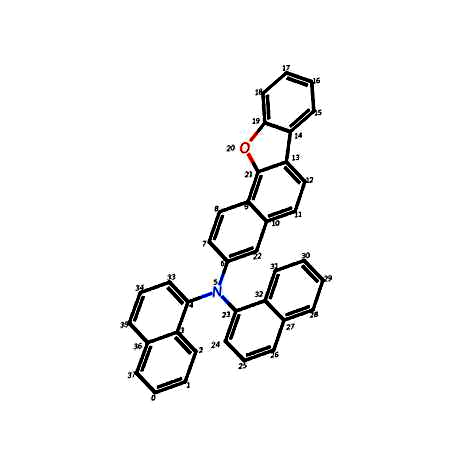 c1ccc2c(N(c3ccc4c(ccc5c6ccccc6oc45)c3)c3cccc4ccccc34)cccc2c1